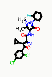 Cc1c(NC(=O)c2noc(-c3ccc(Cl)cc3Cl)c2C2CC2)c(=O)n(-c2ccccc2F)n1C